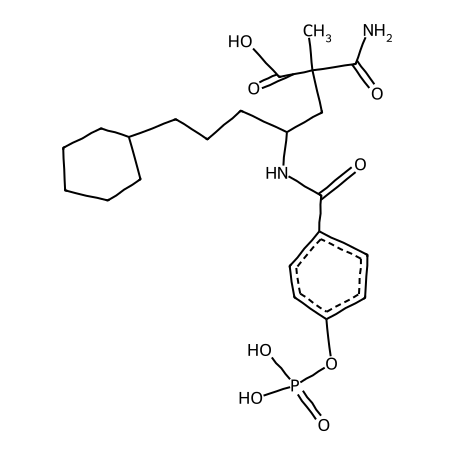 CC(CC(CCCC1CCCCC1)NC(=O)c1ccc(OP(=O)(O)O)cc1)(C(N)=O)C(=O)O